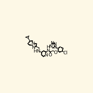 O=C(COc1cc(Cl)ccc1-n1cnnn1)Nc1cc(NCc2cn3cc(C4CC4)ccc3n2)ccn1